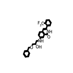 O=c1[nH]c(-c2ccccc2C(F)(F)F)cc2ccc(NCC(O)COCc3ccccc3)cc12